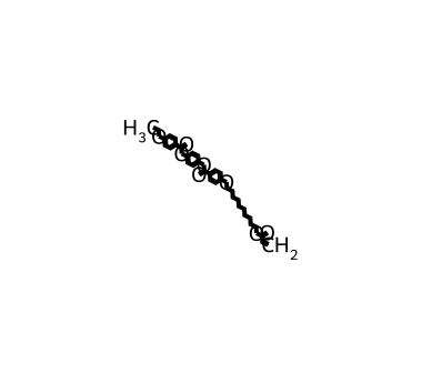 C=CC(=O)OCCCCCCCCCCOc1ccc(C(=O)Oc2ccc(OC(=O)c3ccc(OCC)cc3)cc2)cc1